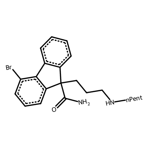 CCCCCNCCCC1(C(N)=O)c2ccccc2-c2c(Br)cccc21